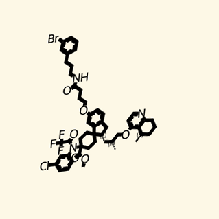 COC(=O)C1(N(C(=O)C(F)(F)F)c2cccc(Cl)c2)CCC2(CC1)c1cc(OCCCC(=O)NCCCc3cccc(Br)c3)ccc1C[C@@H]2C[C@@H](C)COc1ccnc2c1[C@H](C)CCC2